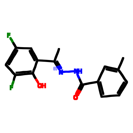 C/C(=N\NC(=O)c1cccc(C)c1)c1cc(F)cc(F)c1O